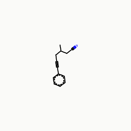 CC(CC#N)CC#Cc1ccccc1